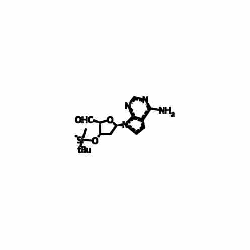 CC(C)(C)[Si](C)(C)O[C@H]1C[C@H](n2ccc3c(N)ncnc32)O[C@@H]1C=O